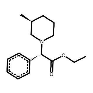 CCOC(=O)[C@H](c1ccccc1)N1CCC[C@H](C)C1